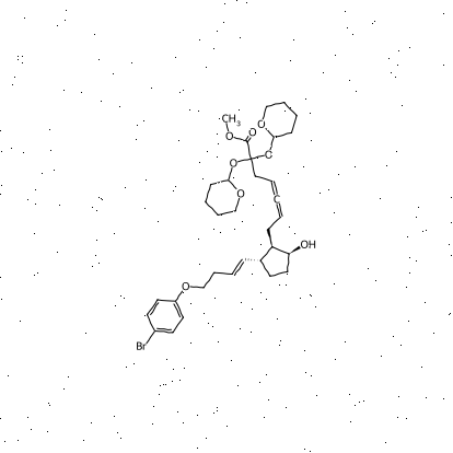 COC(=O)C(CC=C=CC[C@H]1[C@@H](O)CC[C@@H]1/C=C/CCOc1ccc(Br)cc1)(OC1CCCCO1)OC1CCCCO1